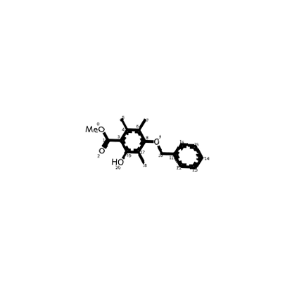 COC(=O)c1c(C)c(C)c(OCc2ccccc2)c(C)c1O